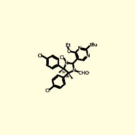 CCOc1nc(C(C)(C)C)ncc1C1N([C]=O)[C@](C)(c2ccc(Cl)cc2)[C@](C)(c2ccc(Cl)cc2)N1Cl